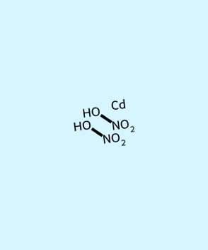 O=[N+]([O-])O.O=[N+]([O-])O.[Cd]